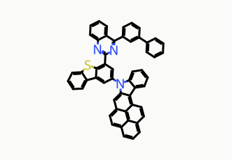 c1ccc(-c2cccc(-c3nc(-c4cc(-n5c6ccccc6c6c7ccc8cccc9ccc(cc65)c7c98)cc5c4sc4ccccc45)nc4ccccc34)c2)cc1